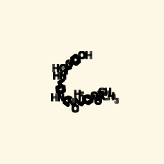 CN(C)C(=O)Oc1ccc(CNC(=O)N2CCC(Nc3ccc(CCNC[C@H](O)COc4ccc(O)cc4)cc3)CC2)c(F)c1